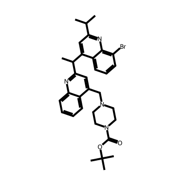 CC(C)c1cc(C(C)c2cc(CN3CCN(C(=O)OC(C)(C)C)CC3)c3ccccc3n2)c2cccc(Br)c2n1